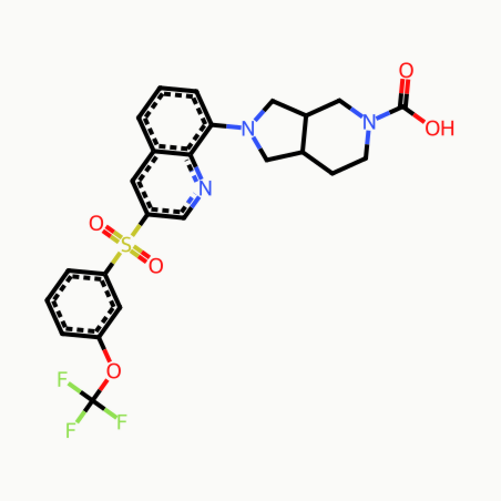 O=C(O)N1CCC2CN(c3cccc4cc(S(=O)(=O)c5cccc(OC(F)(F)F)c5)cnc34)CC2C1